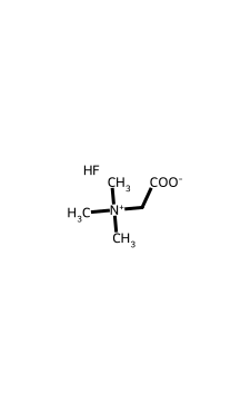 C[N+](C)(C)CC(=O)[O-].F